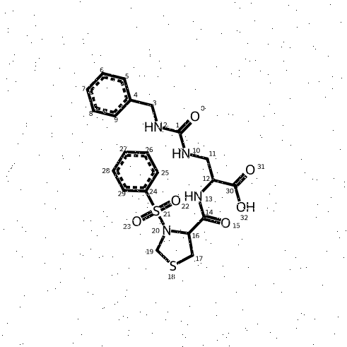 O=C(NCc1ccccc1)NCC(NC(=O)C1CSCN1S(=O)(=O)c1ccccc1)C(=O)O